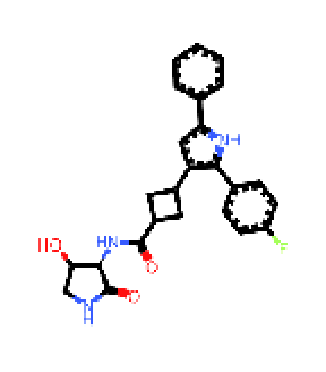 O=C(N[C@H]1C(=O)NCC1O)C1CC(c2cc(-c3ccccc3)[nH]c2-c2ccc(F)cc2)C1